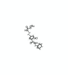 CC(C)(C)OC(=O)NCCc1nc(C(=O)NCc2ncccn2)c(Cl)s1